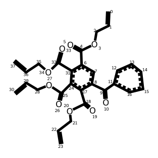 C=CCOC(=O)c1cc(C(=O)c2ccccc2)c(C(=O)OCC=C)c(C(=O)OCC=C)c1C(=O)OCC=C